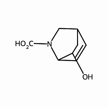 O=C(O)N1CC2C=CC1C(O)C2